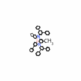 Cc1cc2c3c(c1)N(c1cc(-c4ccccc4)cc(-c4ccccc4)c1)c1cc4c(cc1B3c1ccc(-c3ccccc3)cc1N2c1cc(-c2ccccc2)cc(-c2ccccc2)c1)CCC4